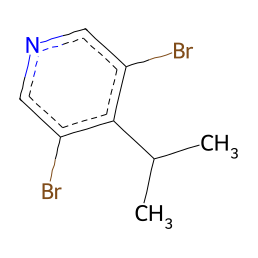 CC(C)c1c(Br)cncc1Br